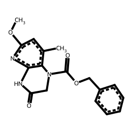 COc1cc(C)c2c(n1)NC(=O)CN2C(=O)OCc1ccccc1